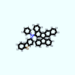 c1ccc(N(c2ccc3sc4ccccc4c3c2)c2cc3c(c4ccccc24)-c2cc4ccccc4cc2C32c3ccccc3-c3ccccc32)cc1